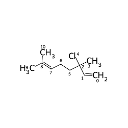 C=CC(C)(Cl)CCC=C(C)C